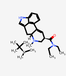 CCN(CC)C(=O)[C@@H]1C=C2c3cccc4[nH]cc(c34)C[C@H]2N(C)C1.C[Si](C)C(C)(C)C